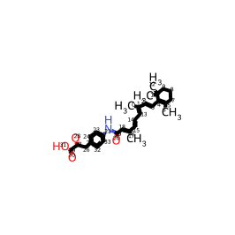 CC(C=CC1=C(C)CCCC1(C)C)=CC=CC(C)=CC(=O)Nc1ccc(CC(=O)C(=O)O)cc1